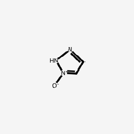 [O-][n+]1c[c]n[nH]1